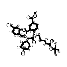 COC(=O)c1ccc2c(c1)C(=O)N([C@H](C)c1ccc(Cl)cc1)[C@@H](C1C=CC(Cl)=CC1)C(=O)N2CCCCC(=O)OC(C)(C)C